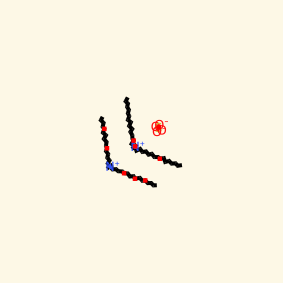 CCCCCCCCCCCCCCCC[N+](C)(C)CCCCCCCCCCCCCCCC.CCCCCCCCCCCCCCCC[N+](C)(C)CCCCCCCCCCCCCCCC.O=S(=O)([O-])[O-]